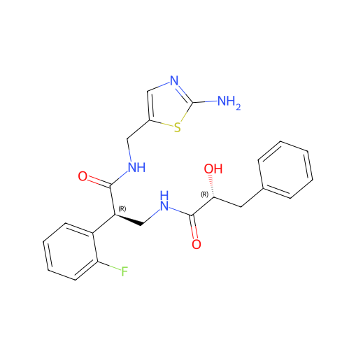 Nc1ncc(CNC(=O)[C@@H](CNC(=O)[C@H](O)Cc2ccccc2)c2ccccc2F)s1